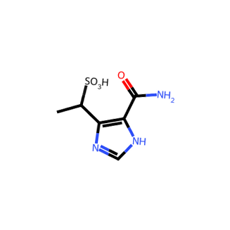 CC(c1nc[nH]c1C(N)=O)S(=O)(=O)O